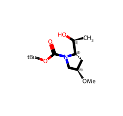 CO[C@@H]1C[C@@H]([C@H](C)O)N(C(=O)OC(C)(C)C)C1